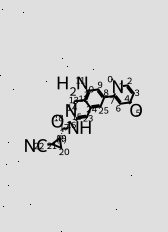 Cn1ccc(=O)cc1-c1cc(N)c2cnc(NC(=O)[C@@H]3CC3C#N)cc2c1